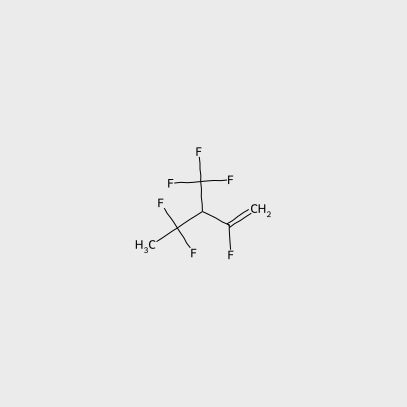 C=C(F)C(C(C)(F)F)C(F)(F)F